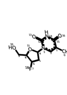 Cc1cn(C2CC([18F])C(CO)O2)c(=O)[nH]c1=O